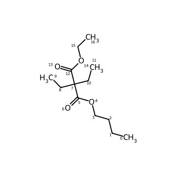 CCCCOC(=O)C(CC)(CC)C(=O)OCC